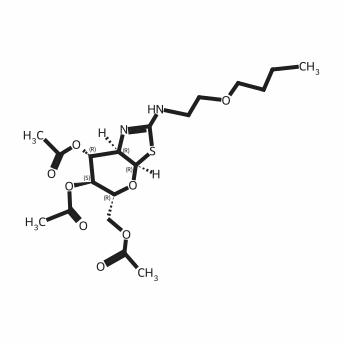 CCCCOCCNC1=N[C@@H]2[C@@H](OC(C)=O)[C@H](OC(C)=O)[C@@H](COC(C)=O)O[C@@H]2S1